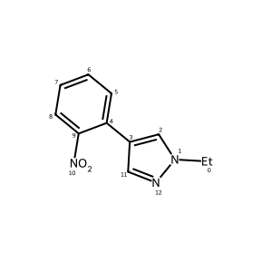 CCn1cc(-c2ccccc2[N+](=O)[O-])cn1